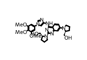 COc1cc(-n2cnc(Nc3nc(N4CCC[C@H]4CO)nc4cc(N5CCC[C@H]5CO)ccc34)c2)cc(OC)c1OC